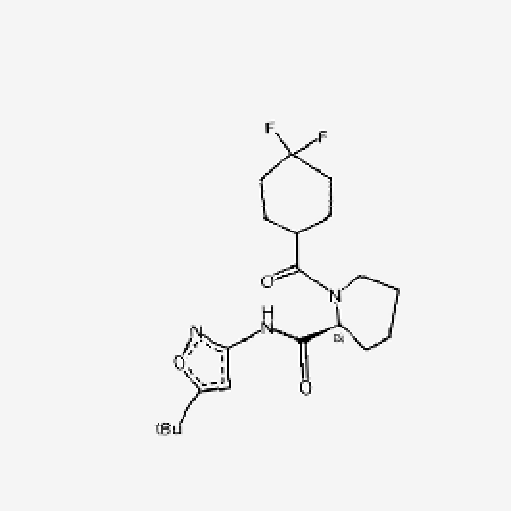 CC(C)(C)c1cc(NC(=O)[C@@H]2CCCCN2C(=O)C2CCC(F)(F)CC2)no1